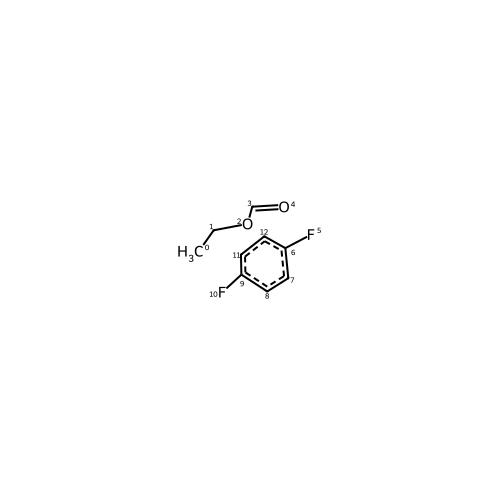 CCOC=O.Fc1ccc(F)cc1